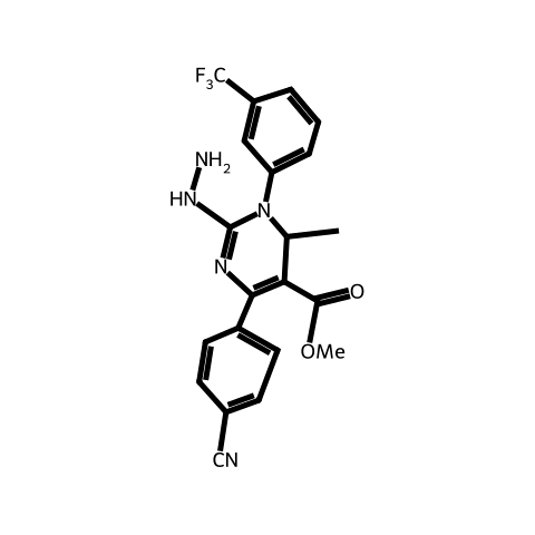 COC(=O)C1=C(c2ccc(C#N)cc2)N=C(NN)N(c2cccc(C(F)(F)F)c2)C1C